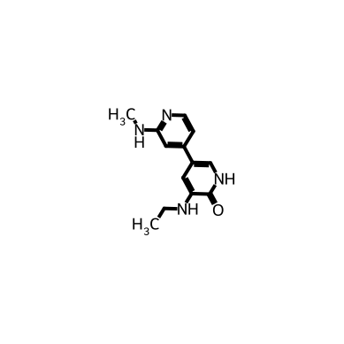 CCNc1cc(-c2ccnc(NC)c2)c[nH]c1=O